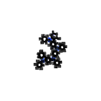 C=Cc1c(/C=C\C)n(C2=CC=CCC2)c2ccc(N(c3ccccc3)c3ccc(N(c4ccccc4)c4ccc5c(c4)C4C=CC=CC4N5c4ccccc4)cc3)cc12